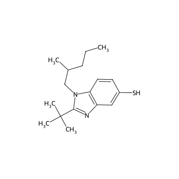 CCCC(C)Cn1c(C(C)(C)C)nc2cc(S)ccc21